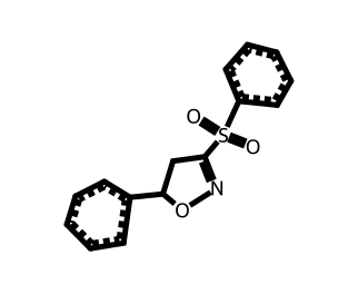 O=S(=O)(C1=NOC(c2ccccc2)C1)c1ccccc1